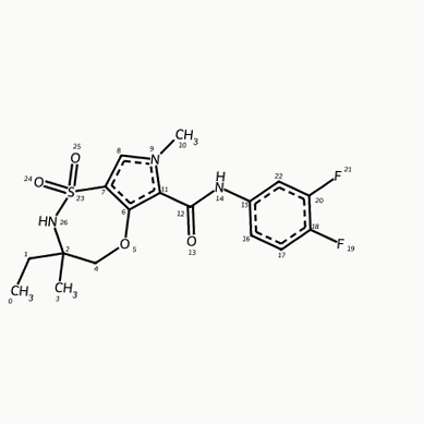 CCC1(C)COc2c(cn(C)c2C(=O)Nc2ccc(F)c(F)c2)S(=O)(=O)N1